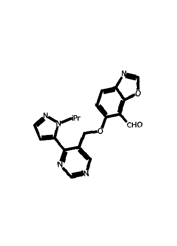 CC(C)n1nccc1-c1ncncc1COc1ccc2ncoc2c1C=O